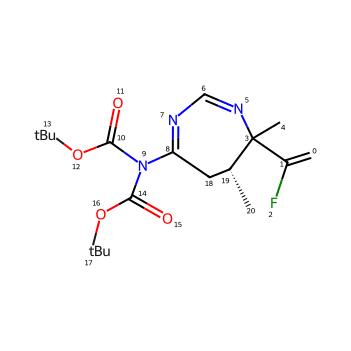 C=C(F)C1(C)N=CN=C(N(C(=O)OC(C)(C)C)C(=O)OC(C)(C)C)C[C@H]1C